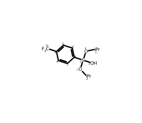 CC(C)O[Si](O)(OC(C)C)c1ccc(C(F)(F)F)cc1